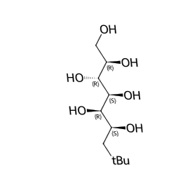 CC(C)(C)C[C@H](O)[C@@H](O)[C@H](O)[C@H](O)[C@H](O)CO